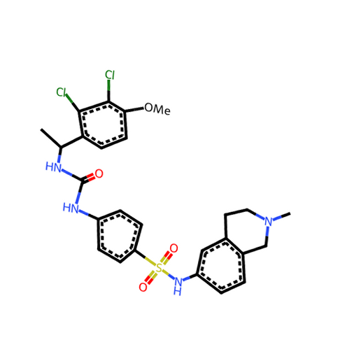 COc1ccc(C(C)NC(=O)Nc2ccc(S(=O)(=O)Nc3ccc4c(c3)CCN(C)C4)cc2)c(Cl)c1Cl